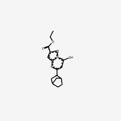 CCOC(=O)c1cc2nc(C3CC4CCC3C4)cc(O)n2n1